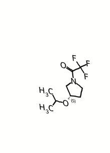 CC(C)O[C@H]1CCN(C(=O)C(F)(F)F)C1